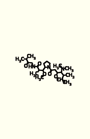 CCC(C)C(C(CC(=O)N1CCCC1C(OC)C(C)C(=O)NCC(=O)C(C)C)OC)N(C)C